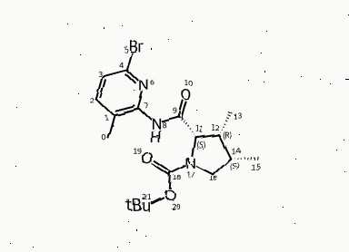 Cc1ccc(Br)nc1NC(=O)[C@@H]1[C@H](C)[C@H](C)CN1C(=O)OC(C)(C)C